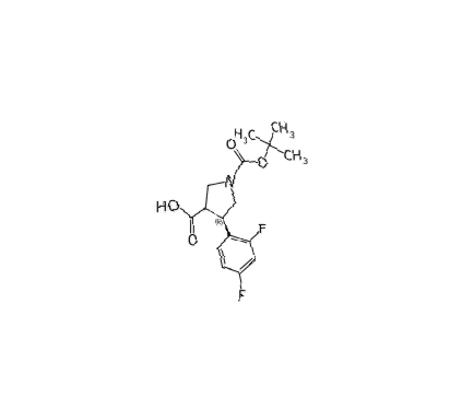 CC(C)(C)OC(=O)N1CC(C(=O)O)[C@H](c2ccc(F)cc2F)C1